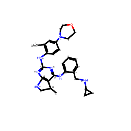 COc1cc(N2CCOCC2)ccc1Nc1nc2c(c(Nc3ccccc3CNC3CC3)n1)C(C)CN2